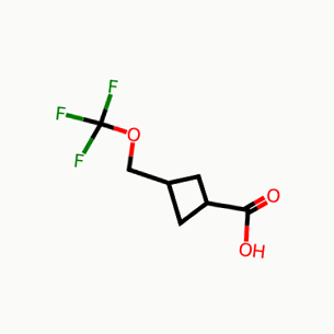 O=C(O)C1CC(COC(F)(F)F)C1